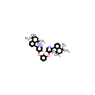 CC1(C)CCC(C)(C)c2c(-c3cc4c(cn3)B3c5cnc(-c6cccc7c6C(C)(C)CCC7(C)C)cc5Oc5cccc(c53)O4)cccc21